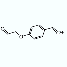 [CH]=Cc1ccc(OCC=C)cc1